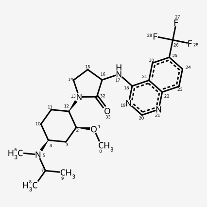 CO[C@H]1C[C@@H](N(C)C(C)C)CC[C@H]1N1CCC(Nc2ncnc3ccc(C(F)(F)F)cc23)C1=O